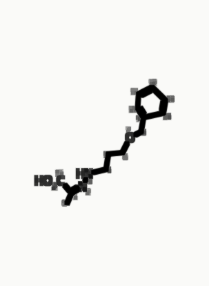 C/C(=N/NCCCOCc1ccccc1)C(=O)O